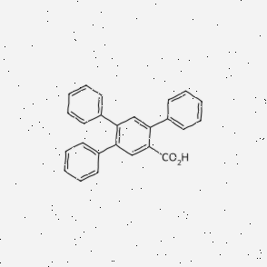 O=C(O)c1cc(-c2ccccc2)c(-c2ccccc2)cc1-c1ccccc1